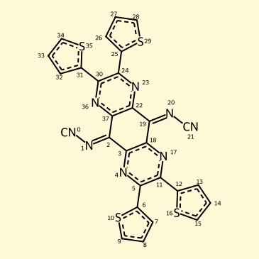 [C-]#[N+]N=C1c2nc(-c3cccs3)c(-c3cccs3)nc2C(=NC#N)c2nc(-c3cccs3)c(-c3cccs3)nc21